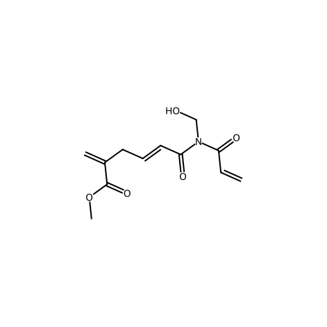 C=CC(=O)N(CO)C(=O)C=CCC(=C)C(=O)OC